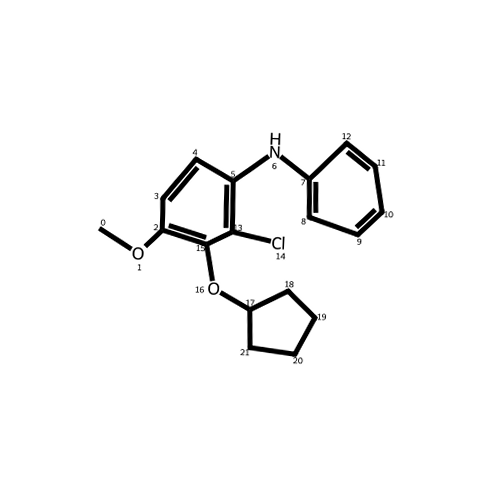 COc1ccc(Nc2ccccc2)c(Cl)c1OC1CCCC1